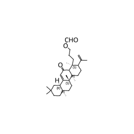 C=C(C)C1CC[C@]2(C)C(C(=O)C=C3[C@@H]4CC(C)(C)CC[C@]4(C)CC[C@]32C)[C@@]1(C)CCCOC=O